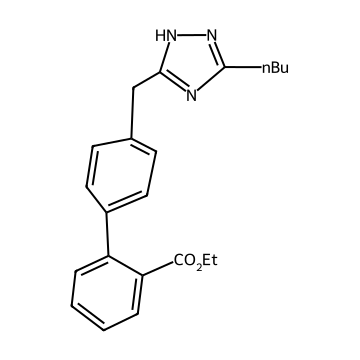 CCCCc1n[nH]c(Cc2ccc(-c3ccccc3C(=O)OCC)cc2)n1